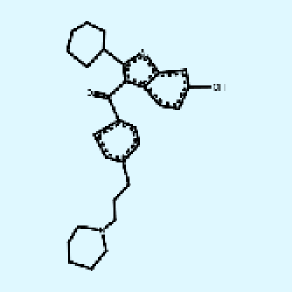 O=C(c1ccc(CCCN2CCCCC2)cc1)c1c(C2CCCCC2)sc2cc(O)ccc12